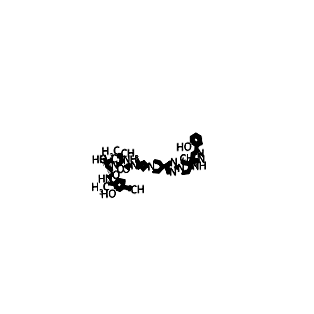 C#Cc1ccc([C@H](C)NC(=O)[C@@H]2C[C@@H](O)CN2C(=O)[C@@H](NC(=O)N2CC3(CC(N4CCC(c5cnc(N6CCc7[nH]c8nnc(-c9ccccc9O)cc8c7[C@H]6C)nc5)CC4)C3)C2)C(C)(C)C)c(O)c1